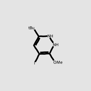 COC1=C(I)C=C(C(C)(C)C)NN1